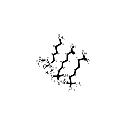 CC(C)(C)CCCCCC(=O)O.CC(C)(C)CCCCCC(=O)O.CCCCCC[Si](OC)(OC)OC